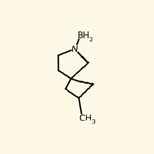 BN1CCC2(CC(C)C2)C1